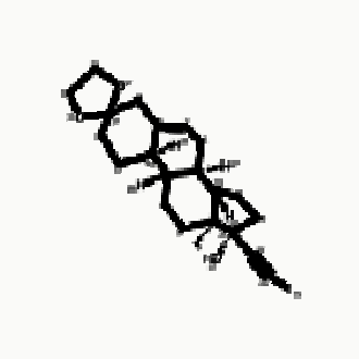 C[C@]12CC[C@H]3[C@@H](CC=C4CC5(CC[C@@H]43)OCCO5)[C@@H]1CC[C@@]2(O)C#CI